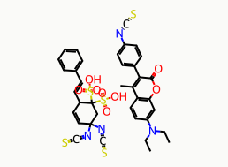 CCN(CC)c1ccc2c(C)c(-c3ccc(N=C=S)cc3)c(=O)oc2c1.O=S(=O)(O)C1(S(=O)(=O)O)CC(N=C=S)(N=C=S)C=CC1C=Cc1ccccc1